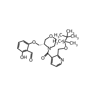 CC(C)(C)[Si](C)(C)OCc1ncccc1C(=O)N1CCOC[C@H]1COc1cccc(O)c1C=O